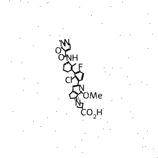 COc1nc(-c2ccc(F)c(C3=C(C)C(NC(=O)c4ccnn(C)c4=O)=CCC3)c2Cl)cc2c1[C@@H](N1CC(C(=O)O)C1)CC2